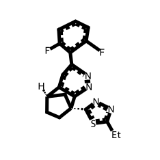 CCc1nnc([C@]23CC[C@H](C2)c2cc(-c4c(F)cccc4F)nnc23)s1